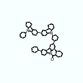 O=c1c2ccccc2c2cc(-c3cccc(-n4c5ccccc5c5cc(-c6ccc7c(c6)c6ccccc6n7-c6ccccc6)ccc54)c3)cc3c4cc(-c5ccccc5)ccc4n1c23